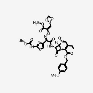 BOC(=O)/C(=C\B1OCO1)O/N=C(\C(=O)N[C@@H]1C(=O)N2C(C(=O)OCc3ccc(OC)cc3)=C(CI)C[S+]([O-])[C@H]12)c1csc(NC(=O)OC(C)(C)C)n1